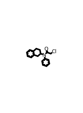 O=C(CCl)N(c1ccccc1)C1CCc2ccccc2C1